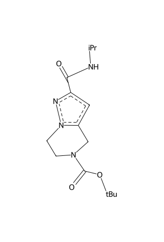 CC(C)NC(=O)c1cc2n(n1)CCN(C(=O)OC(C)(C)C)C2